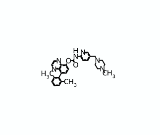 Cc1cccc(C)c1-c1ccc(OC(=O)Nc2ccc(CN3CCN(C)CC3)cn2)c2nccnc12